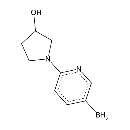 Bc1ccc(N2CCC(O)C2)nc1